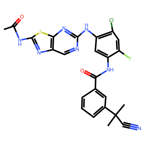 CC(=O)Nc1nc2cnc(Nc3cc(NC(=O)c4cccc(C(C)(C)C#N)c4)c(F)cc3Cl)nc2s1